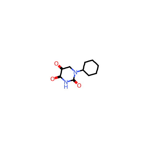 O=C1CN(C2CCCCC2)C(=O)NC1=O